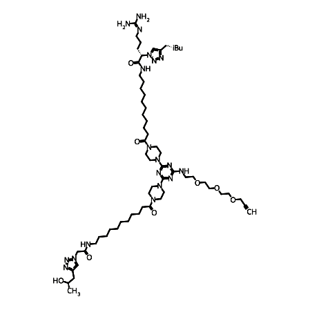 C#CCOCCOCCOCCNc1nc(N2CCN(C(=O)CCCCCCCCCCNC(=O)Cn3cc(C[C@@H](C)O)nn3)CC2)nc(N2CCN(C(=O)CCCCCCCCCCNC(=O)[C@H](CCCN=C(N)N)n3cc(C[C@@H](C)CC)nn3)CC2)n1